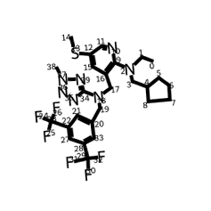 CCN(CC1CCCC1)c1ncc(SC)cc1CN(Cc1cc(C(F)(F)F)cc(C(F)(F)F)c1)c1nnn(C)n1